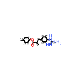 Cc1ccc(OC(=O)C(C)Cc2ccc(NC(=N)N)cc2)cc1